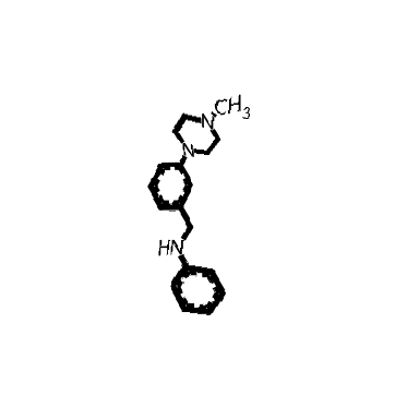 CN1CCN(c2cccc(CNc3ccccc3)c2)CC1